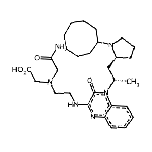 C[C@@H](C[C@@H]1CCCN1C1CCCCCCC1)n1c(=O)c(NCCN(CC(N)=O)CC(=O)O)nc2ccccc21